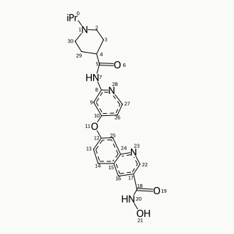 CC(C)N1CCC(C(=O)Nc2cc(Oc3ccc4cc(C(=O)NO)cnc4c3)ccn2)CC1